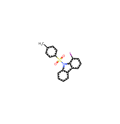 Cc1ccc(S(=O)(=O)n2c3ccccc3c3cccc(I)c32)cc1